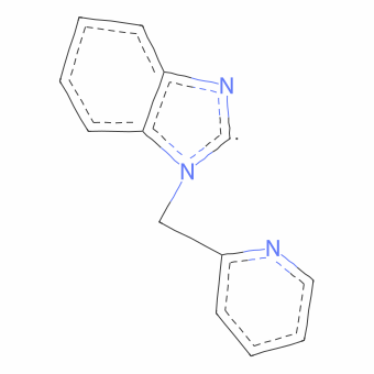 [c]1nc2ccccc2n1Cc1ccccn1